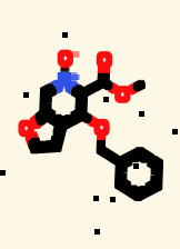 COC(=O)c1c(OCc2ccccc2)c2ccoc2c[n+]1[O-]